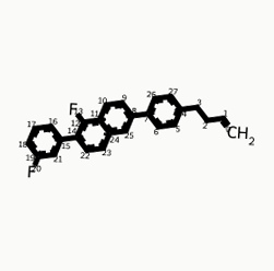 C=CCCc1ccc(-c2ccc3c(F)c(-c4cccc(F)c4)ccc3c2)cc1